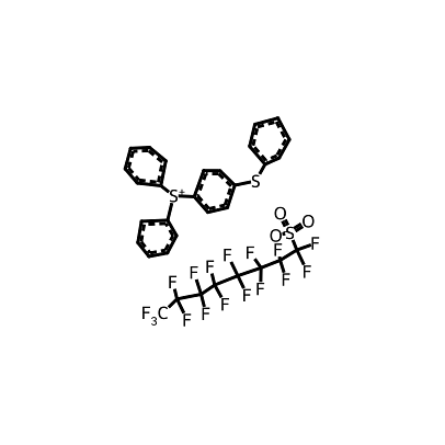 O=S(=O)([O-])C(F)(F)C(F)(F)C(F)(F)C(F)(F)C(F)(F)C(F)(F)C(F)(F)C(F)(F)F.c1ccc(Sc2ccc([S+](c3ccccc3)c3ccccc3)cc2)cc1